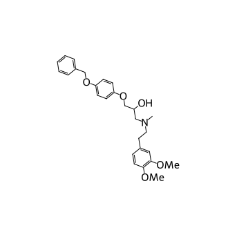 COc1ccc(CCN(C)CC(O)COc2ccc(OCc3ccccc3)cc2)cc1OC